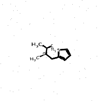 CC(C)[C@H](C)Cc1cccs1